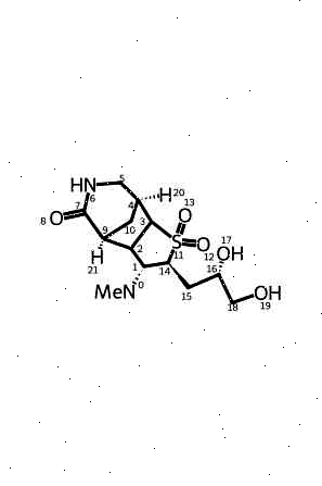 CN[C@@H]1C2C([C@@H]3CNC(=O)[C@H]2C3)S(=O)(=O)[C@H]1C[C@H](O)CO